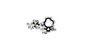 CC(C)N(C(=O)CO/N=C1\C=C\CC/C=C/CCOC(=O)c2c(O)cc(O)c(Cl)c2C1)C(C)C